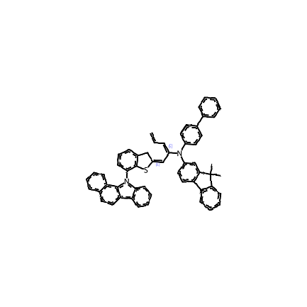 C=C/C=C(\C=C1/Cc2cccc(-n3c4ccccc4c4ccc5ccccc5c43)c2S1)N(c1ccc(-c2ccccc2)cc1)c1ccc2c(c1)C(C)(C)c1ccccc1-2